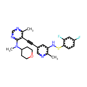 Cc1ncc(C#Cc2c(C)ncnc2N(C)C2CCOCC2)cc1NSc1ccc(F)cc1F